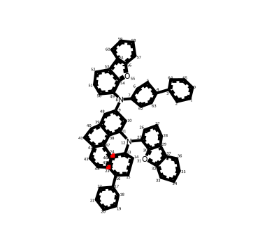 c1ccc(-c2ccc(N(c3cc(N(c4ccc(-c5ccccc5)cc4)c4cccc5c4oc4ccccc45)c4c(ccc5ccccc54)c3)c3cccc4c3oc3ccccc34)cc2)cc1